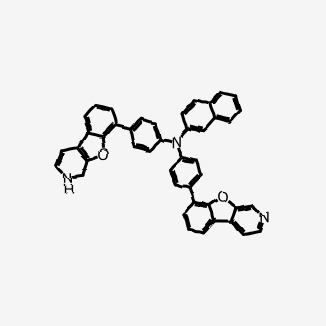 C1=Cc2c(oc3c(-c4ccc(N(c5ccc(-c6cccc7c6oc6cnccc67)cc5)c5ccc6ccccc6c5)cc4)cccc23)CN1